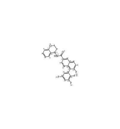 O=C(NN1CCOc2ccccc21)c1cnc2c(-c3cc(F)cc(F)c3F)c(F)ccc2c1